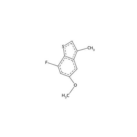 COc1cc(F)c2scc(C)c2c1